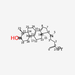 C=C(CC[C@@H](C)C1CC=C2C3=C(CC[C@@]21C)[C@@]1(C)CC[C@H](O)[C@@H](C)C1CC3)C(C)C